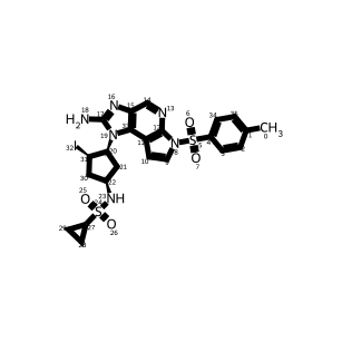 Cc1ccc(S(=O)(=O)n2ccc3c2ncc2nc(N)n([C@H]4C[C@@H](NS(=O)(=O)C5CC5)C[C@H]4I)c23)cc1